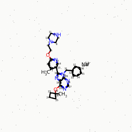 Cc1cc(OCCN2CCNCC2)ncc1-c1nc2c(OC3(C)CCC3)ncnc2n1Cc1ccccc1.[H-].[Na+]